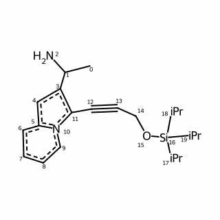 CC(N)c1cc2ccccn2c1C#CCO[Si](C(C)C)(C(C)C)C(C)C